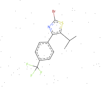 CC(C)c1sc(Br)nc1-c1ccc(C(F)(F)F)cc1